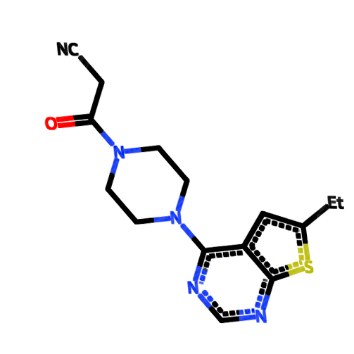 CCc1cc2c(N3CCN(C(=O)CC#N)CC3)ncnc2s1